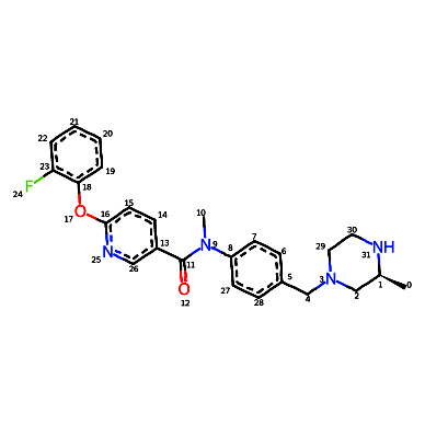 C[C@H]1CN(Cc2ccc(N(C)C(=O)c3ccc(Oc4ccccc4F)nc3)cc2)CCN1